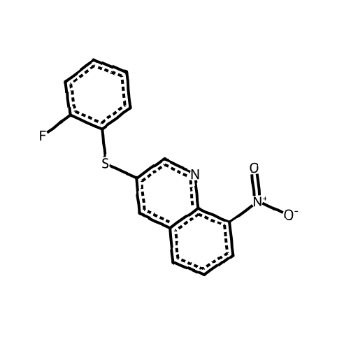 O=[N+]([O-])c1cccc2cc(Sc3ccccc3F)cnc12